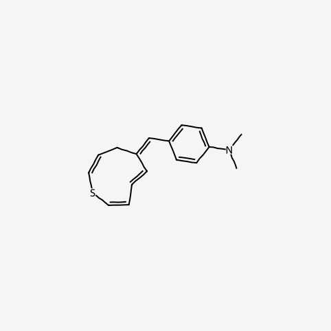 CN(C)c1ccc(C=C2/C=C/C=C\S/C=C\C2)cc1